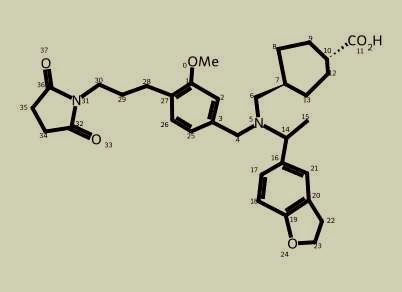 COc1cc(CN(C[C@H]2CC[C@H](C(=O)O)CC2)C(C)c2ccc3c(c2)CCO3)ccc1CCCN1C(=O)CCC1=O